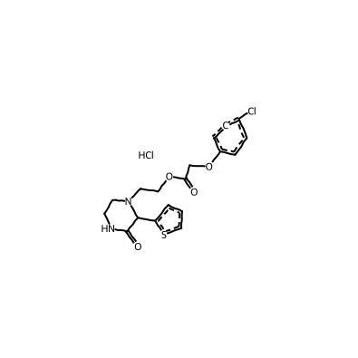 Cl.O=C(COc1ccc(Cl)cc1)OCCN1CCNC(=O)C1c1cccs1